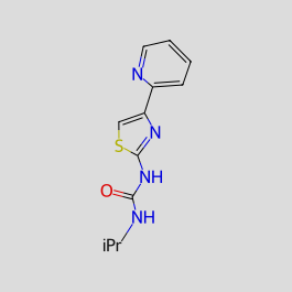 CC(C)NC(=O)Nc1nc(-c2ccccn2)cs1